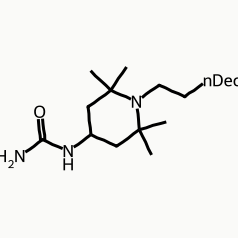 CCCCCCCCCCCCN1C(C)(C)CC(NC(N)=O)CC1(C)C